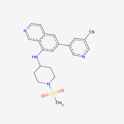 CS(=O)(=O)N1CCC(Nc2cc(-c3cncc(C#N)c3)cc3ccncc23)CC1